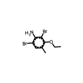 CCOc1c(C)cc(Br)c(N)c1Br